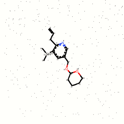 C=CCc1ncc(COC2CCCCO2)cc1[SiH](C)C